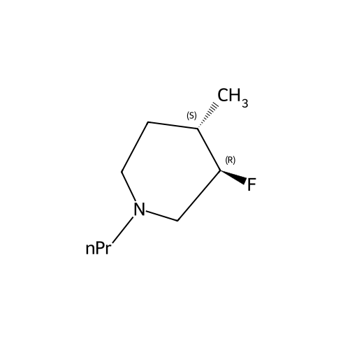 CCCN1CC[C@H](C)[C@@H](F)C1